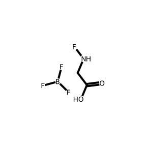 FB(F)F.O=C(O)CNF